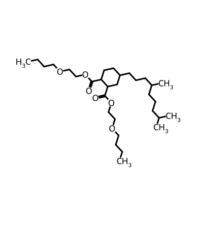 CCCCOCCOC(=O)C1CCC(CCCC(C)CCCC(C)C)CC1C(=O)OCCOCCCC